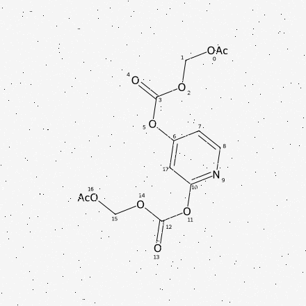 CC(=O)OCOC(=O)Oc1ccnc(OC(=O)OCOC(C)=O)c1